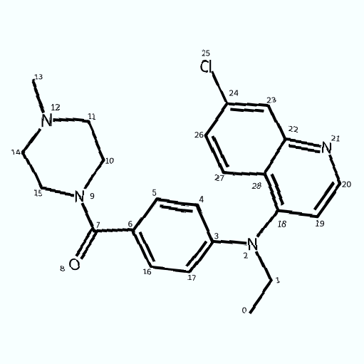 CCN(c1ccc(C(=O)N2CCN(C)CC2)cc1)c1ccnc2cc(Cl)ccc12